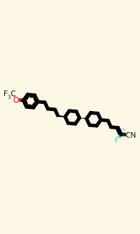 N#C/C(F)=C/CCC1CCC([C@H]2CC[C@H](CCCCc3ccc(OC(F)(F)F)cc3)CC2)CC1